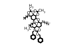 CCC(C1CCC(N=[N+]=[N-])C(OC2C(N=[N+]=[N-])CC(N=[N+]=[N-])C(OC(C)=O)C2OC(C)=O)O1)N(Cc1ccccc1)C(=O)OCc1ccccc1